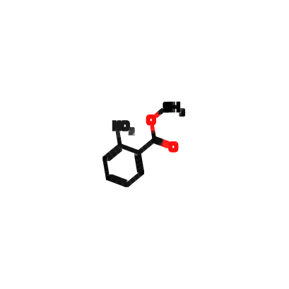 O=C(O[SiH3])c1ccccc1[N+](=O)[O-]